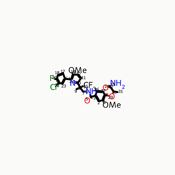 COc1cc(C(=O)NCC(C)(c2ccc(OC)c(-c3ccc(F)c(Cl)c3)n2)C(F)(F)F)ccc1OC(C)C(N)=O